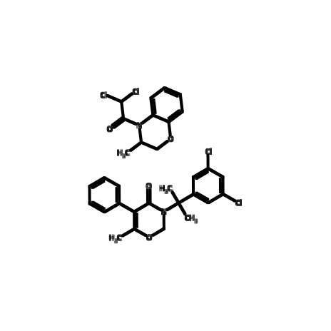 CC1=C(c2ccccc2)C(=O)N(C(C)(C)c2cc(Cl)cc(Cl)c2)CO1.CC1COc2ccccc2N1C(=O)C(Cl)Cl